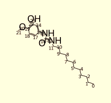 CCCCCCCCCCCCNC(=O)Nc1ccc(OC)c(O)c1